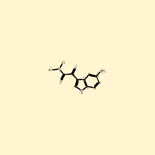 CCN(CC)C(=O)C(=O)c1c[nH]c2ccc(N)cc12